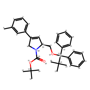 Cc1cccc(C2=C[C@@H](CO[Si](c3ccccc3)(c3ccccc3)C(C)(C)C)N(C(=O)OC(C)(C)C)C2)c1